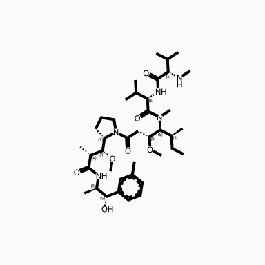 CC[C@H](C)[C@@H]([C@@H](CC(=O)N1CCC[C@H]1[C@H](OC)[C@@H](C)C(=O)N[C@H](C)[C@@H](O)c1cccc(C)c1)OC)N(C)C(=O)[C@@H](NC(=O)[C@@H](NC)C(C)C)C(C)C